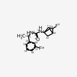 C[C@H](NC(=O)NC12CC(F)C(C1)C2)c1cccc(F)c1